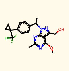 COc1nc(C)nc2c1c(CO)nn2C(C)c1ccc(C2(C(F)(F)F)CC2)cc1